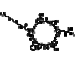 N=C(N)NCCC[C@@H]1NC(=O)[C@H](CS)NC(=O)[C@H](CC(=O)O)NC(=O)CSC[C@@H](C(=O)NCC(=O)NCCOCCOCCN)NC(=O)[C@H](Cc2ccccc2)NC(=O)[C@H](CS)NC(=O)[C@H](CC(=O)O)NC(=O)CNC1=O